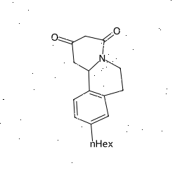 CCCCCCc1ccc2c(c1)CCN1C(=O)CC(=O)CC21